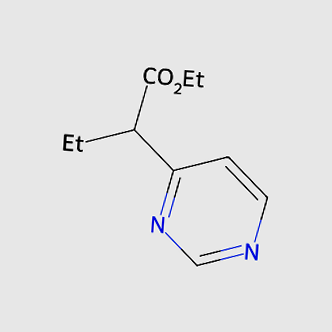 CCOC(=O)C(CC)c1ccncn1